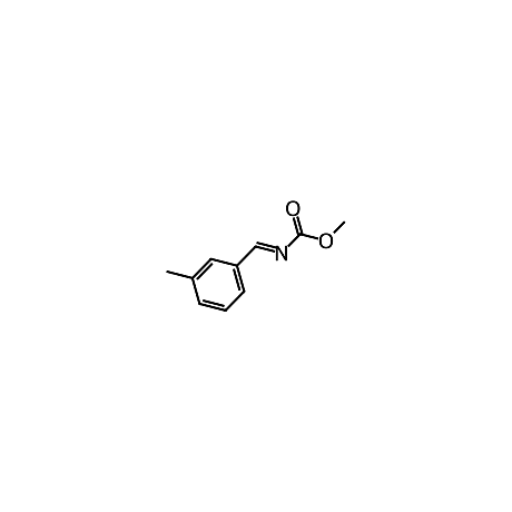 COC(=O)N=Cc1cccc(C)c1